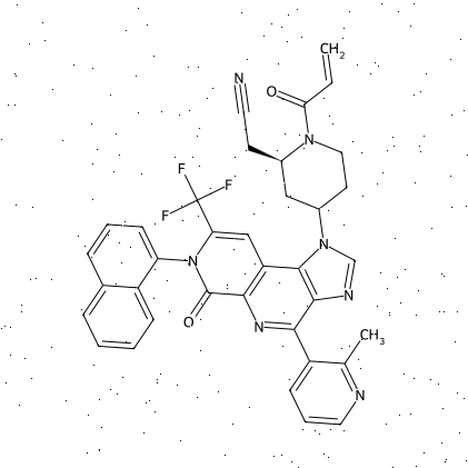 C=CC(=O)N1CCC(n2cnc3c(-c4cccnc4C)nc4c(=O)n(-c5cccc6ccccc56)c(C(F)(F)F)cc4c32)C[C@H]1CC#N